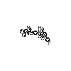 CCOc1ccn(-c2ccc(F)cc2)c(=O)c1C(=O)Nc1ccc(Oc2ccnc3cc(OC)c(OC)nc23)cc1